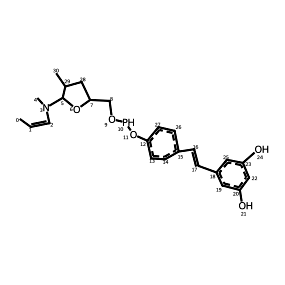 C/C=C\N(C)C1OC(COPOc2ccc(/C=C/c3cc(O)cc(O)c3)cc2)CC1C